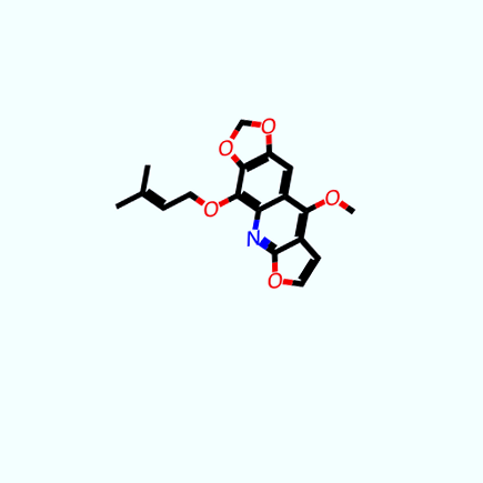 COc1c2ccoc2nc2c(OCC=C(C)C)c3c(cc12)OCO3